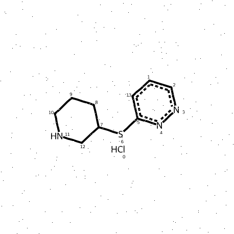 Cl.c1cnnc(SC2CCCNC2)c1